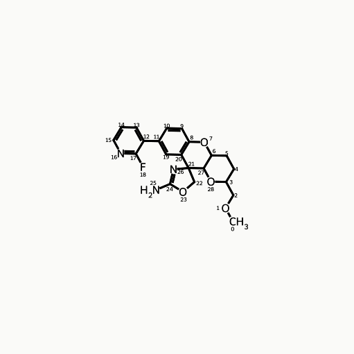 COCC1CCC2Oc3ccc(-c4cccnc4F)cc3C3(COC(N)=N3)C2O1